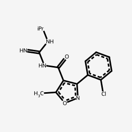 Cc1onc(-c2ccccc2Cl)c1C(=O)NC(=N)NC(C)C